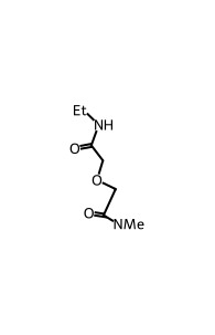 CCNC(=O)COCC(=O)NC